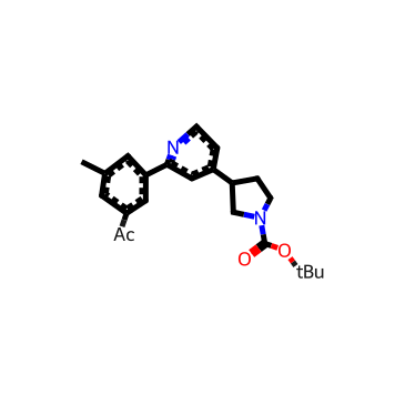 CC(=O)c1cc(C)cc(-c2cc(C3CCN(C(=O)OC(C)(C)C)C3)ccn2)c1